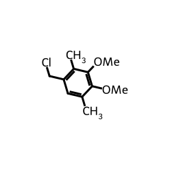 COc1c(C)cc(CCl)c(C)c1OC